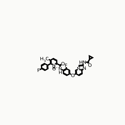 Cc1ccc(C(=O)Nc2ccc(Oc3ccc4nc(NC(=O)C5CC5)cn4c3)cc2F)[n+]([O-])c1-c1ccc(F)cc1